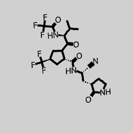 CC(C)[C@H](NC(=O)C(F)(F)F)C(=O)C1C[C@H](C(F)(F)F)C[C@H]1C(=O)N[C@H](C#N)C[C@@H]1CCNC1=O